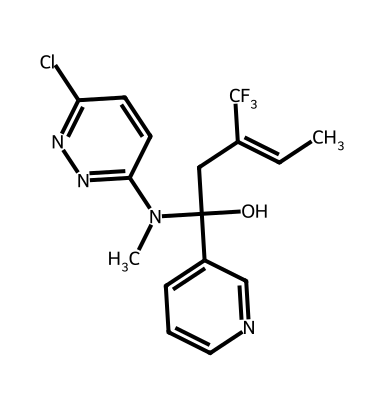 CC=C(CC(O)(c1cccnc1)N(C)c1ccc(Cl)nn1)C(F)(F)F